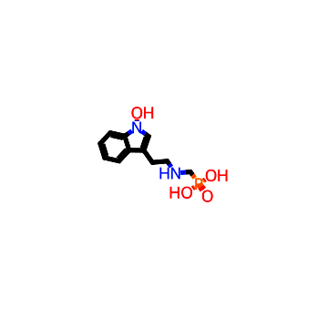 O=P(O)(O)CNCCc1cn(O)c2ccccc12